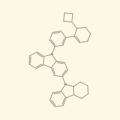 C1=C(c2cccc(-n3c4ccccc4c4cc(N5c6ccccc6C6CCCCC65)ccc43)c2)C(C2CCC2)CCC1